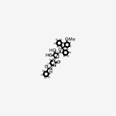 COc1cccc(C(OC[C@H]2O[C@@H](n3ccc(NC(=O)c4ccccc4)nc3=O)[C@H](O)[C@@H]2O)(c2ccccc2)c2ccccc2)c1